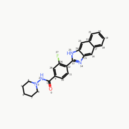 O=C(NN1CCCCC1)c1ccc(-c2nc3cc4ccccc4cc3[nH]2)c(F)c1